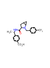 C[C@H](NC(=O)C1CC2CC2N1Cc1ccc(C(F)(F)F)cc1)c1ccc(C(=O)O)cc1